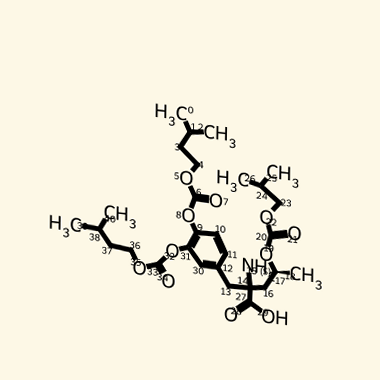 CC(C)CCOC(=O)Oc1ccc(CC(N)(C[C@H](C)OC(=O)OCC(C)C)C(=O)O)cc1OC(=O)OCCC(C)C